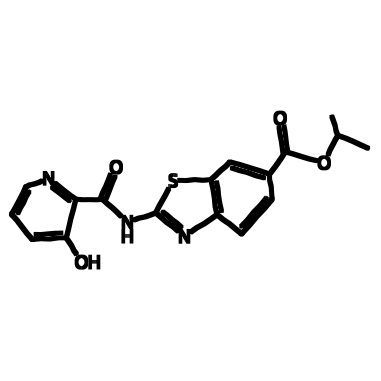 CC(C)OC(=O)c1ccc2nc(NC(=O)c3ncccc3O)sc2c1